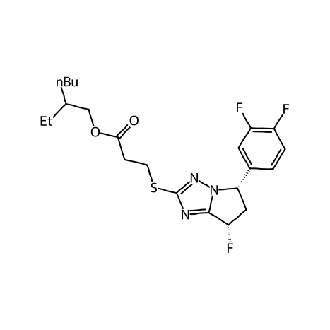 CCCCC(CC)COC(=O)CCSc1nc2n(n1)[C@H](c1ccc(F)c(F)c1)C[C@@H]2F